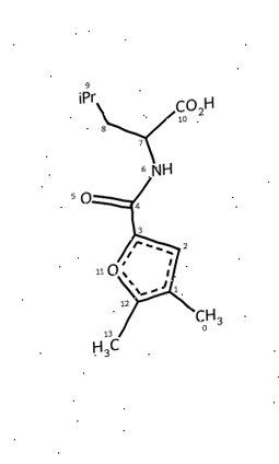 Cc1cc(C(=O)NC(CC(C)C)C(=O)O)oc1C